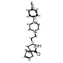 O=C1N[C@H](CCN2CCN(c3ccc(F)cc3)CC2)CC12CC=CC2